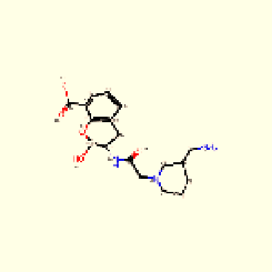 NCC1CCCN(CC(=O)N[C@H]2Cc3cccc(C(=O)O)c3OB2O)C1